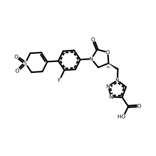 O=C(O)c1cn(C[C@H]2CN(c3ccc(C4=CCS(=O)(=O)CC4)c(F)c3)C(=O)O2)nn1